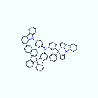 c1ccc2c(c1)-c1ccc(N(c3ccc(-n4c5ccccc5c5ccccc54)cc3)c3cccc4c3-c3ccccc3C43c4ccccc4-n4c5ccccc5c5cccc3c54)cc1C21c2ccccc2-c2c1ccc1ccccc21